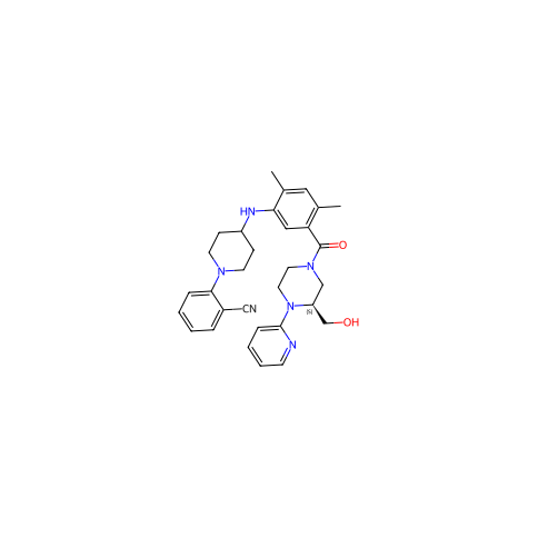 Cc1cc(C)c(C(=O)N2CCN(c3ccccn3)[C@H](CO)C2)cc1NC1CCN(c2ccccc2C#N)CC1